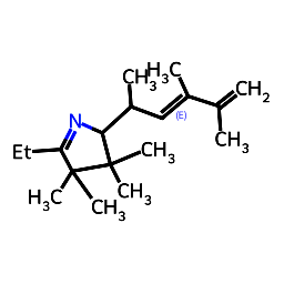 C=C(C)/C(C)=C/C(C)C1N=C(CC)C(C)(C)C1(C)C